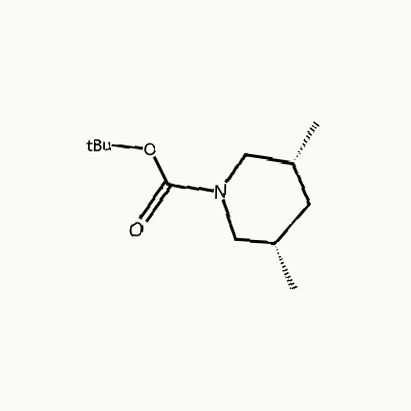 C[C@@H]1C[C@H](C)CN(C(=O)OC(C)(C)C)C1